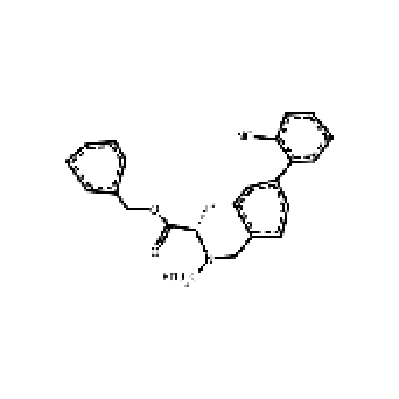 CCOC(=O)N(Cc1ccc(-c2ccccc2C#N)cc1)[C@H](C(=O)OCc1ccccc1)C(C)C